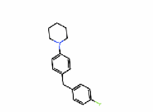 Fc1ccc(Cc2ccc(N3CCCCC3)cc2)cc1